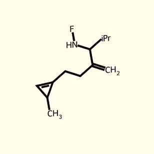 C=C(CCC1=CC1C)C(NF)C(C)C